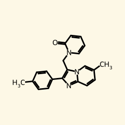 Cc1ccc(-c2nc3ccc(C)cn3c2Cn2ccccc2=O)cc1